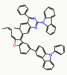 C\C=C/C=c1/oc2ccc(-c3ccc4c(c3)c3ccccc3n4-c3ccccc3)cc2/c1=C1\C=c2nc(-n3c4ccccc4c4ccccc43)nc(-c3ccccc3)c2=CC1C